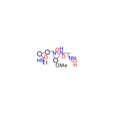 CCNC(=O)c1ccccc1-c1ccc(CN2Cc3ccc(OC)cc3C[C@@H](NC(=O)CC(C)CNC[C@@H](C)O)C2=O)cc1